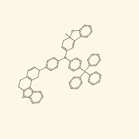 CC12CC=C(N(c3ccc(C4C=CC5=C(C4)c4c(oc6ccccc46)CC5)cc3)c3ccc(S(c4ccccc4)(c4ccccc4)c4ccccc4)cc3)C=C1c1ccccc1O2